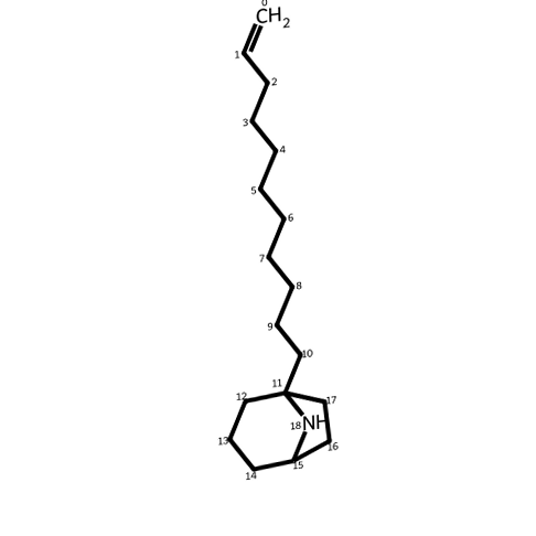 C=CCCCCCCCCCC12CCCC(CC1)N2